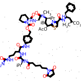 CC[C@H](C)[C@H](NC(=O)[C@H]1CCCCN1C(=O)OCc1ccc(NC(=O)C(CCCNC(N)=O)NC(=O)[C@@H](NC(=O)CCCCCN2C(=O)C=CC2=O)C(C)C)cc1)C(=O)N(C)[C@H](C[C@@H](OC(C)=O)c1nc(C(=O)N[C@@H](Cc2ccccc2)C[C@H](C)C(=O)O)cs1)C(C)C